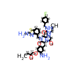 C#CCN(C(=O)NCc1ccc(F)cc1)N1CC(=O)N2[C@@H](Cc3ccc(OCC(=O)C=C)c(N)c3)C(=O)N(Cc3cccc4sc(N)nc34)C[C@@H]21